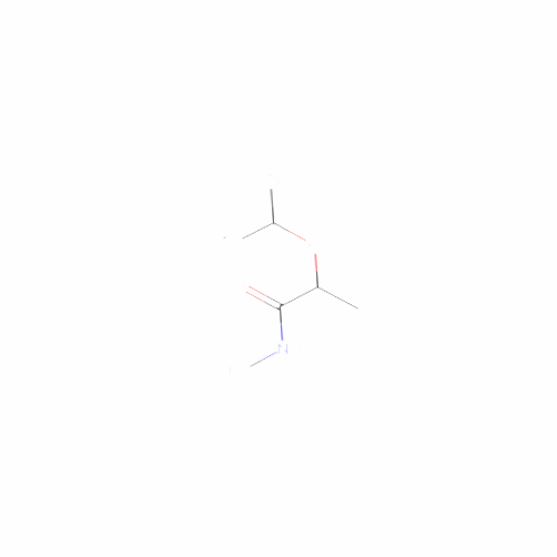 CCC(OC(C)C(=O)NC(C)C)C(C)=O